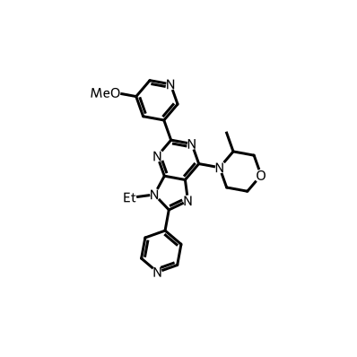 CCn1c(-c2ccncc2)nc2c(N3CCOCC3C)nc(-c3cncc(OC)c3)nc21